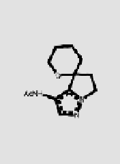 CC(=O)Nc1cnn2c1C1(CCCCO1)CC2